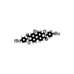 CC(C)(C)c1ccc(N2C(=O)c3ccc4c5ccc6c7c(cc(Br)c(c8ccc(c3c48)C2=O)c75)C(=O)N(c2ccc(C(C)(C)C)cc2)C6=O)cc1